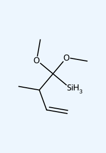 C=CC(C)C([SiH3])(OC)OC